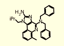 Cc1cccc2c1nc(N(Cc1ccccc1)Cc1ccccc1)c1nc(N)n(CC(C)C)c12